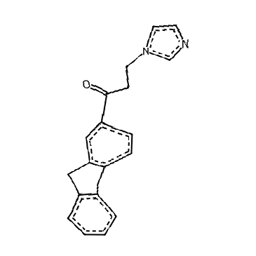 O=C(CCn1ccnc1)c1ccc2c(c1)Cc1ccccc1-2